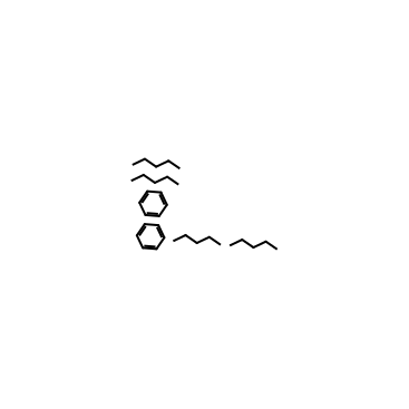 CCCCC.CCCCC.CCCCC.CCCCC.c1ccccc1.c1ccccc1